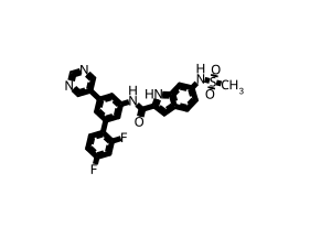 CS(=O)(=O)Nc1ccc2cc(C(=O)Nc3cc(-c4cncnc4)cc(-c4ccc(F)cc4F)c3)[nH]c2c1